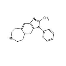 Cc1nc2cc3c(cc2n1-c1ccccc1)CCNCC3